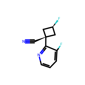 N#C[C@]1(c2ncccc2F)C[C@H](F)C1